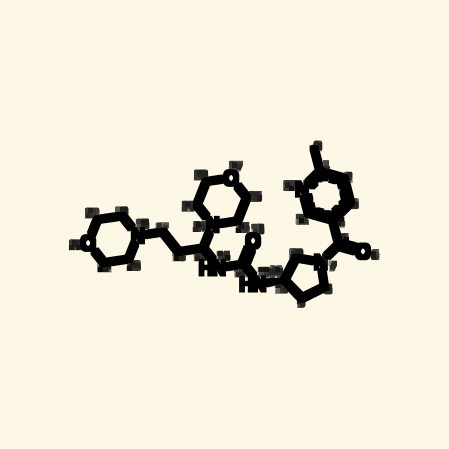 Cc1ccc(C(=O)N2CC[C@@H](NC(=O)NC(CCN3CCOCC3)N3CCOCC3)C2)cn1